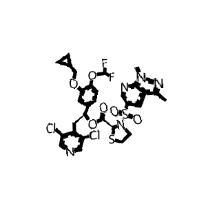 Cc1nn(C)c2ncc(S(=O)(=O)N3CCS[C@H]3C(=O)O[C@@H](Cc3c(Cl)cncc3Cl)c3ccc(OC(F)F)c(OCC4CC4)c3)cc12